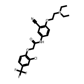 CCN(CC)CCOc1ccc(NC(=O)COc2ccc(C(F)(F)F)cc2Cl)cc1C#N